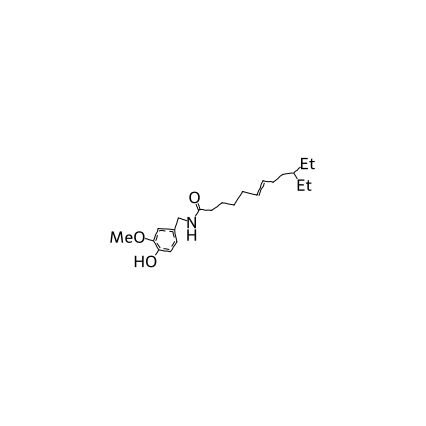 CCC(CC)CCC=CCCCCC(=O)NCc1ccc(O)c(OC)c1